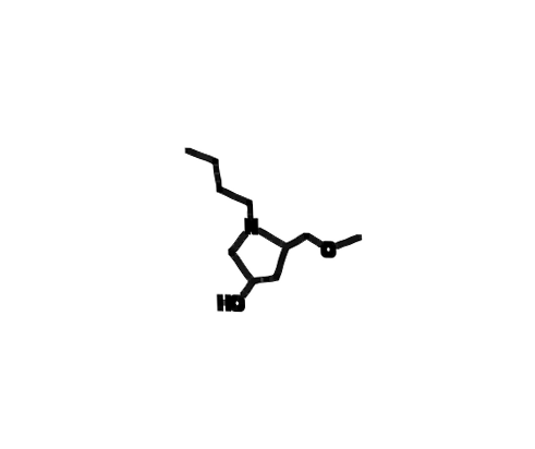 CCCCN1CC(O)CC1COC